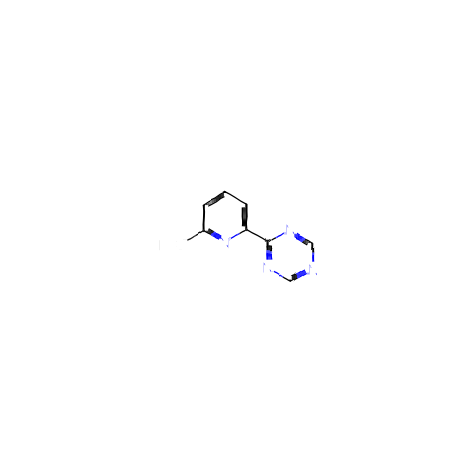 FC(F)(F)c1cccc(-c2ncncn2)n1